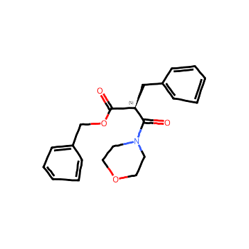 O=C(OCc1ccccc1)[C@@H](Cc1ccccc1)C(=O)N1CCOCC1